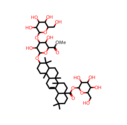 COC(=O)C1OC(OC2CCC3(C)C(CCC4(C)C3CC=C3C5CC(C)(C)CCC5(C(=O)OC5OC(CO)C(O)C(O)C5O)CCC34C)C2(C)C)C(O)C(OC2OC(CO)C(O)C(O)C2O)C1O